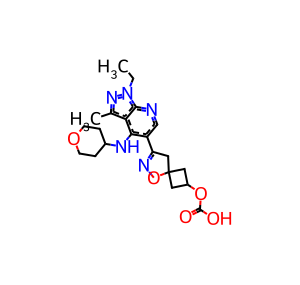 CCn1nc(C)c2c(NC3CCOCC3)c(C3=NOC4(C3)CC(OC(=O)O)C4)cnc21